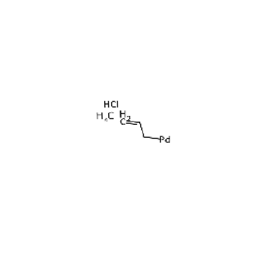 C.C=C[CH2][Pd].Cl